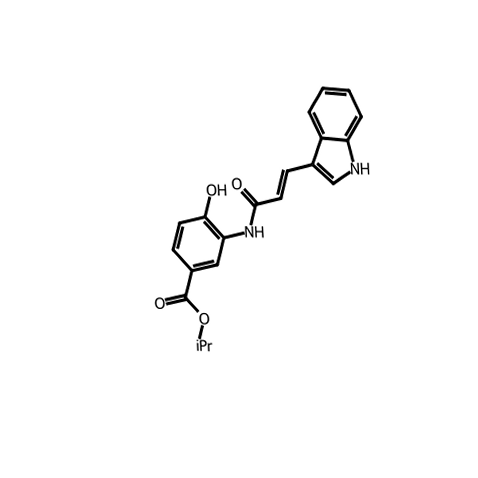 CC(C)OC(=O)c1ccc(O)c(NC(=O)C=Cc2c[nH]c3ccccc23)c1